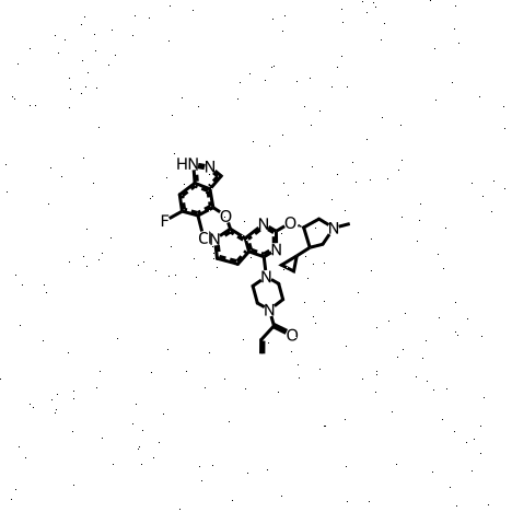 C=CC(=O)N1CCN(c2nc(O[C@@H]3CN(C)CC3C3CC3)nc3c(Oc4c(Cl)c(F)cc5[nH]ncc45)nccc23)CC1